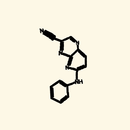 N#Cc1cnc2ccc(Nc3ccccc3)nc2n1